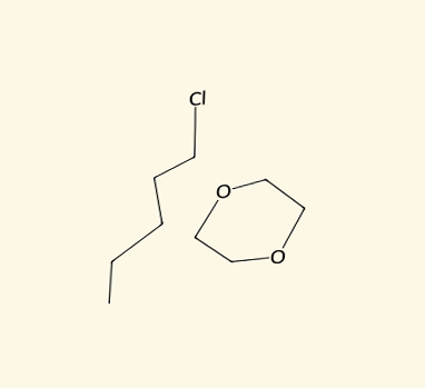 C1COCCO1.CCCCCCl